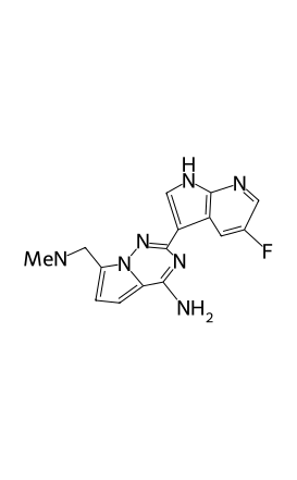 CNCc1ccc2c(N)nc(-c3c[nH]c4ncc(F)cc34)nn12